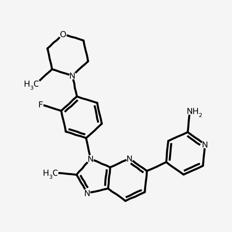 Cc1nc2ccc(-c3ccnc(N)c3)nc2n1-c1ccc(N2CCOCC2C)c(F)c1